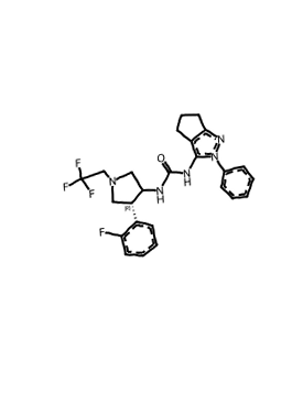 O=C(Nc1c2c(nn1-c1ccccc1)CCC2)NC1CN(CC(F)(F)F)C[C@H]1c1ccccc1F